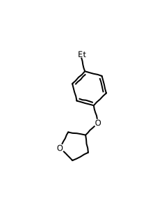 CCc1ccc(OC2CCOC2)cc1